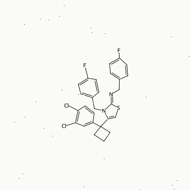 Fc1ccc(CN=c2scc(C3(c4ccc(Cl)c(Cl)c4)CCC3)n2Cc2ccc(F)cc2)cc1